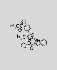 Cc1nc(N[C@@H](Cc2ccccc2)C(=O)OC2CCCC2)sc1-c1ccc(Cl)c(S(C)(=O)=O)c1